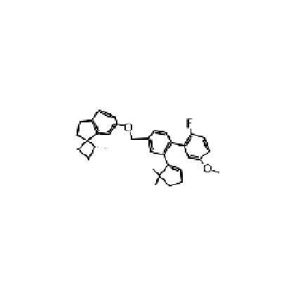 COc1ccc(F)c(-c2ccc(COc3ccc4c(c3)[C@@]3(CC4)CC[C@H]3C)cc2C2=CCCC2(C)C)c1